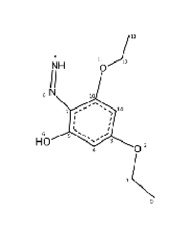 CCOc1cc(O)c(N=N)c(OCC)c1